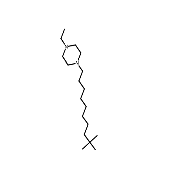 CCN1CCN(CCCCCCCCC(C)(C)C)CC1